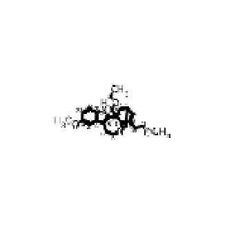 CCOC(=O)C12CC3CC(CCOC)C1N(CCc1c2[nH]c2ccc(OC)cc12)C3